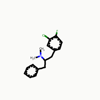 CN(C)C([CH]c1ccc(F)c(Cl)c1)Cc1ccccc1